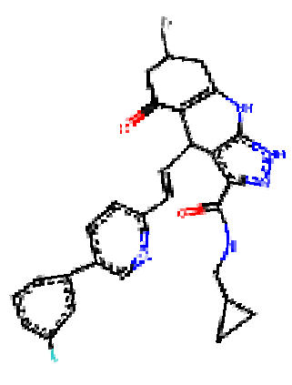 CC(C)C1CC(=O)C2=C(C1)Nc1[nH]nc(C(=O)NCC3CC3)c1C2/C=C/c1ccc(-c2cccc(F)c2)cn1